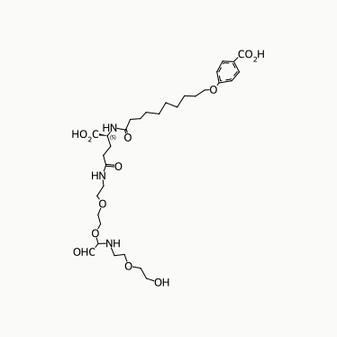 O=CC(NCCOCCO)OCCOCCNC(=O)CC[C@H](NC(=O)CCCCCCCCCOc1ccc(C(=O)O)cc1)C(=O)O